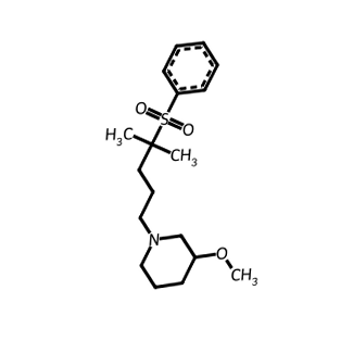 COC1CCCN(CCCC(C)(C)S(=O)(=O)c2ccccc2)C1